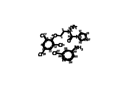 CCCN(CCOc1c(Cl)cc(Cl)cc1Cl)C(=O)n1ccnc1.Nc1ccnc(Cl)c1